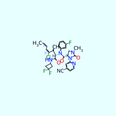 C=C(/C(Cl)=C\C=C/C)[C@@H](C(=O)NC1CC(F)(F)C1)N(C(=O)[C@@H]1CN(C)C(=O)N1c1cc(C#N)ccn1)c1cccc(F)c1